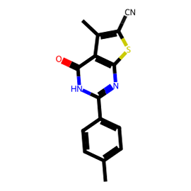 Cc1ccc(-c2nc3sc(C#N)c(C)c3c(=O)[nH]2)cc1